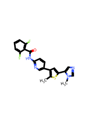 Cc1sc(-c2cncn2C)cc1-c1ccc(NC(=O)c2c(F)cccc2F)nc1